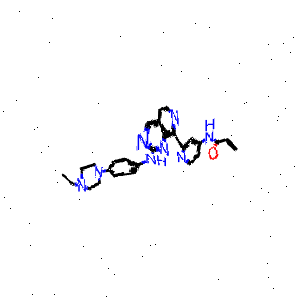 C=CC(=O)Nc1ccnc(-c2nccc3cnc(Nc4ccc(N5CCN(CC)CC5)cc4)nc23)c1